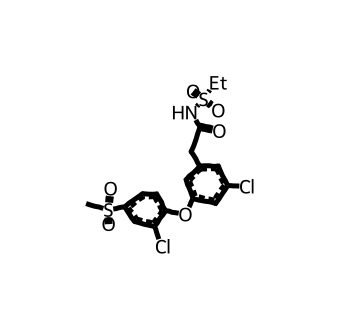 CCS(=O)(=O)NC(=O)Cc1cc(Cl)cc(Oc2ccc(S(C)(=O)=O)cc2Cl)c1